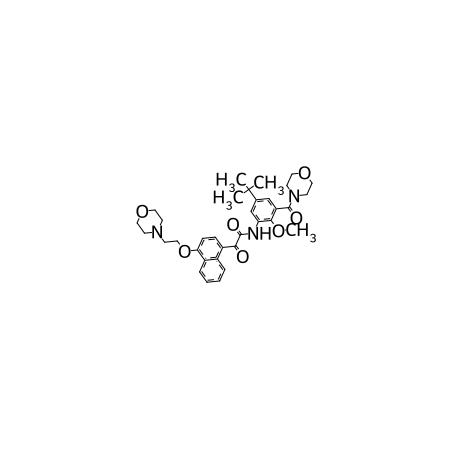 COc1c(NC(=O)C(=O)c2ccc(OCCN3CCOCC3)c3ccccc23)cc(C(C)(C)C)cc1C(=O)N1CCOCC1